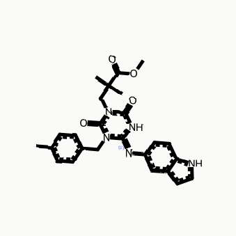 COC(=O)C(C)(C)Cn1c(=O)[nH]/c(=N\c2ccc3[nH]ccc3c2)n(Cc2ccc(C)cc2)c1=O